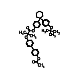 CC(=O)Oc1ccc(-c2ccc(OC(C)(C)C(=O)Oc3ccc(C4(c5ccc(OC(C)(C)C)cc5)CCCCC4)cc3)cc2)cc1